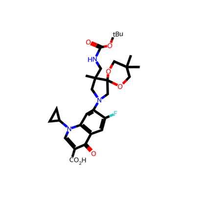 CC1(C)COC2(CN(c3cc4c(cc3F)c(=O)c(C(=O)O)cn4C3CC3)CC2(C)CNC(=O)OC(C)(C)C)OC1